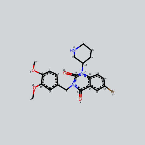 COc1ccc(Cn2c(=O)c3cc(Br)ccc3n(C3CCCNC3)c2=O)cc1OC